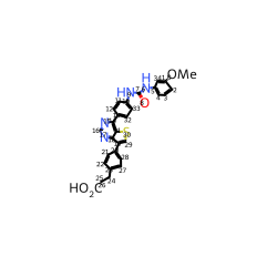 COc1cccc(NC(=O)Nc2ccc(-c3ncnc4c(-c5ccc(CCC(=O)O)cc5)csc34)cc2)c1